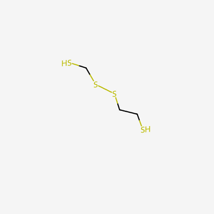 SCCSSCS